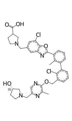 Cc1nc(CN2CC[C@H](O)C2)cnc1OCc1cccc(-c2cccc(-c3nc4cc(CN5CCC(C(=O)O)C5)cc(Cl)c4o3)c2C)c1Cl